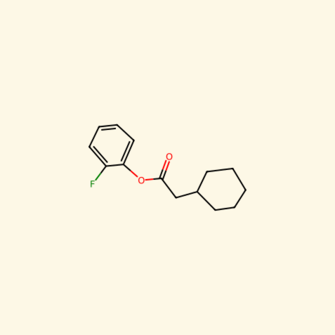 O=C(CC1CCCCC1)Oc1ccccc1F